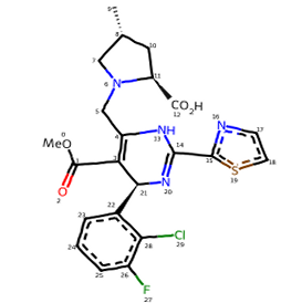 COC(=O)C1=C(CN2C[C@H](C)C[C@H]2C(=O)O)NC(c2nccs2)=N[C@H]1c1cccc(F)c1Cl